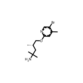 Cc1cc(OC[C@@H](C)CC(C)(C)N)ncc1Br